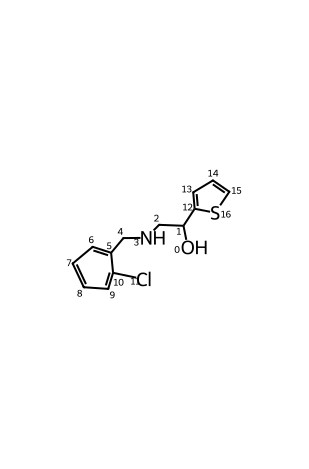 OC(CNCc1ccccc1Cl)c1cccs1